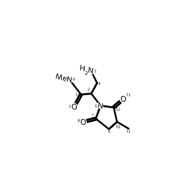 CNC(=O)C(CN)N1C(=O)CC(C)C1=O